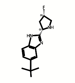 CC(C)(C)c1ccc2[nH]c([C@@H]3C[C@H](F)CN3)nc2c1